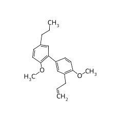 C=CCc1cc(-c2cc(CCC)ccc2OC)ccc1OC